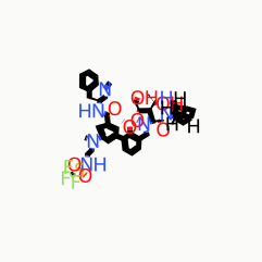 COc1c(CN2O[C@@H](CO)[C@@H]([C@H](C)O)[C@H]2C(=O)N[C@H]2C[C@H]3C[C@@H]([C@@H]2C)C3(C)C)cccc1-c1cc(C(=O)N[C@@H](Cc2ccccc2)CN(C)C)cc(N(C)CCNS(=O)(=O)C(F)(F)F)c1